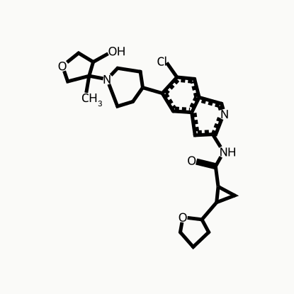 CC1(N2CCC(c3cc4cc(NC(=O)C5CC5C5CCCO5)ncc4cc3Cl)CC2)COCC1O